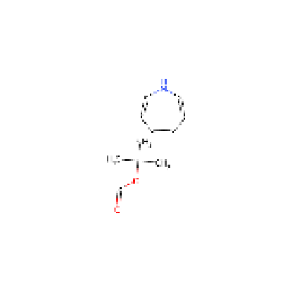 C1=CC=CNC=C1.CC(C)(C)OC=O